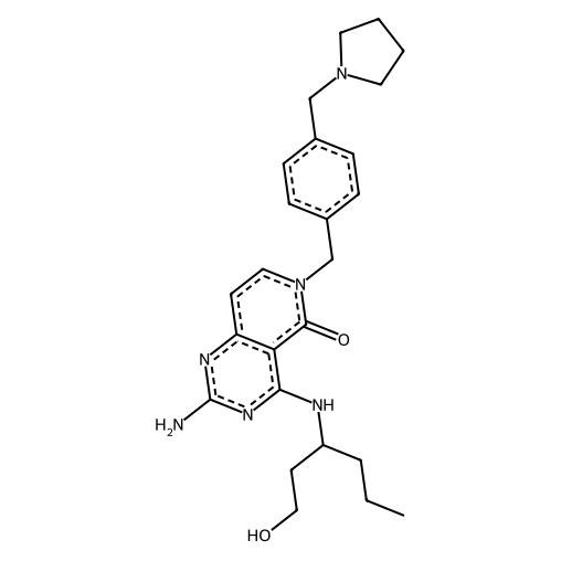 CCCC(CCO)Nc1nc(N)nc2ccn(Cc3ccc(CN4CCCC4)cc3)c(=O)c12